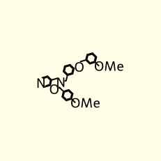 COc1ccc(C(=O)N(Cc2ccncc2)Cc2cccc(OCc3cccc(OC)c3)c2)cc1